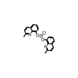 Cc1ccc2cccc([O][Zr]([Cl])[O]c3cccc4ccc(C)nc34)c2n1